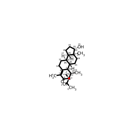 CC(=O)OC[C@@]12C(=C(C)C(=O)C[C@@H]1C)CC[C@H]1[C@@H]3CC[C@H](O)[C@@]3(C)CC[C@@H]12